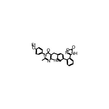 CCCCc1nc(C)n(-c2ccc(OCC)cc2)c(=O)c1Cc1ccc(-c2ccccc2-c2noc(=O)[nH]2)cc1